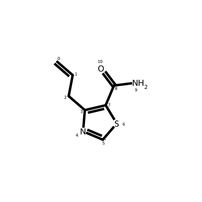 C=CCc1n[c]sc1C(N)=O